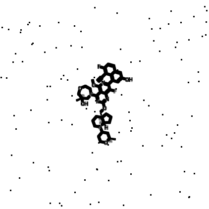 C#Cc1c(F)ccc2cc(O)cc(-c3nc(OC)c4c(N5CCOC[C@@](C)(O)C5)nc(OC[C@]56CCC[C@H]5N(C5CCO[C@H](C)C5)CCC6)nc4c3F)c12